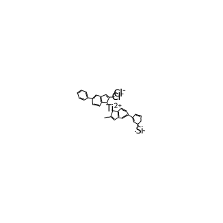 CC1=Cc2cc(C3=CC(=[Si](C)C)CC=C3)ccc2[CH]1[Ti+2][CH]1C(C)=Cc2cc(-c3ccccc3)ccc21.[Cl-].[Cl-]